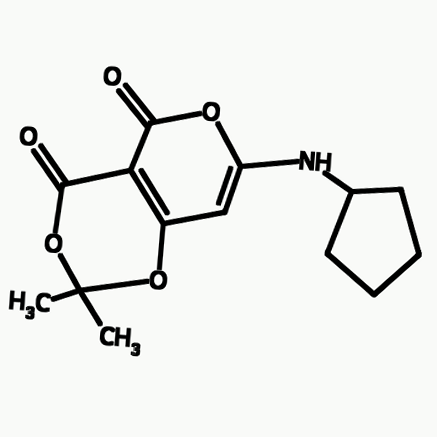 CC1(C)OC(=O)c2c(cc(NC3CCCC3)oc2=O)O1